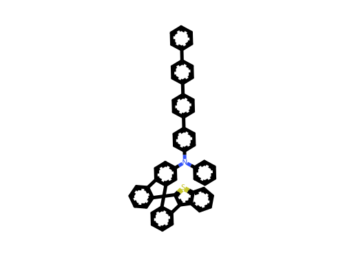 c1ccc(-c2ccc(-c3ccc(-c4ccc(N(c5ccccc5)c5ccc6c(c5)C5(c7ccccc7-6)c6ccccc6-c6c5sc5ccccc65)cc4)cc3)cc2)cc1